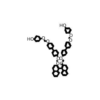 Oc1ccc(OCOc2ccc(-c3ccc(OCOc4ccc5ccccc5c4-c4c(OCOc5ccc(-c6ccc(OCOc7ccc(O)cc7)cc6)cc5)ccc5ccccc45)cc3)cc2)cc1